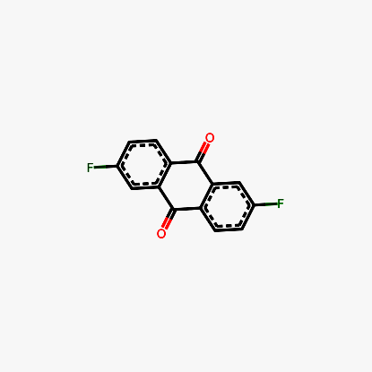 O=C1c2ccc(F)cc2C(=O)c2ccc(F)cc21